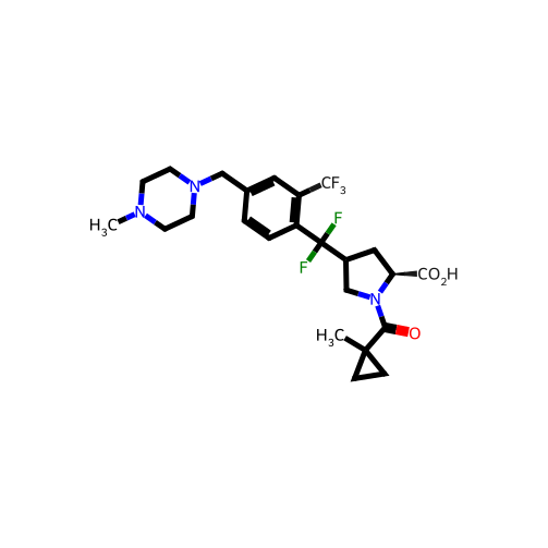 CN1CCN(Cc2ccc(C(F)(F)C3C[C@@H](C(=O)O)N(C(=O)C4(C)CC4)C3)c(C(F)(F)F)c2)CC1